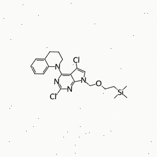 C[Si](C)(C)CCOCn1cc(Cl)c2c(N3CCCc4ccccc43)nc(Cl)nc21